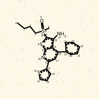 CCCC[SH](C)(=O)c1sc2nc(-c3cccs3)cc(-c3ccccc3)c2c1N